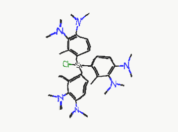 Cc1c([Si](Cl)(c2ccc(N(C)C)c(N(C)C)c2C)c2ccc(N(C)C)c(N(C)C)c2C)ccc(N(C)C)c1N(C)C